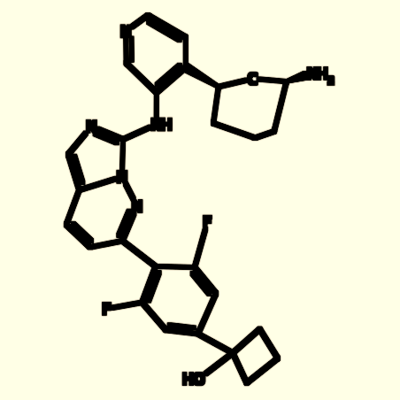 N[C@H]1CCC[C@@H](c2ccncc2Nc2ncc3ccc(-c4c(F)cc(C5(O)CCC5)cc4F)nn23)C1